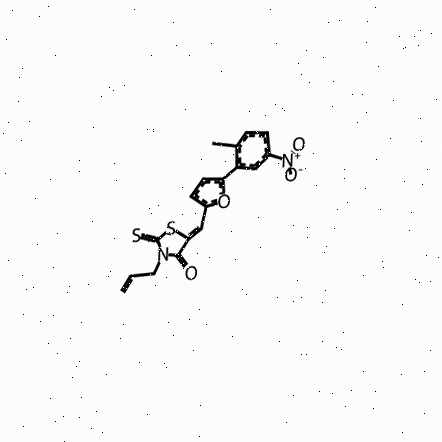 C=CCN1C(=O)C(=Cc2ccc(-c3cc([N+](=O)[O-])ccc3C)o2)SC1=S